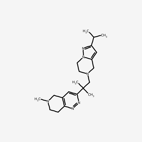 CC(C)c1cc2n(n1)CCN(CC(C)(C)c1cc3c(nn1)CCN(C)C3)C2